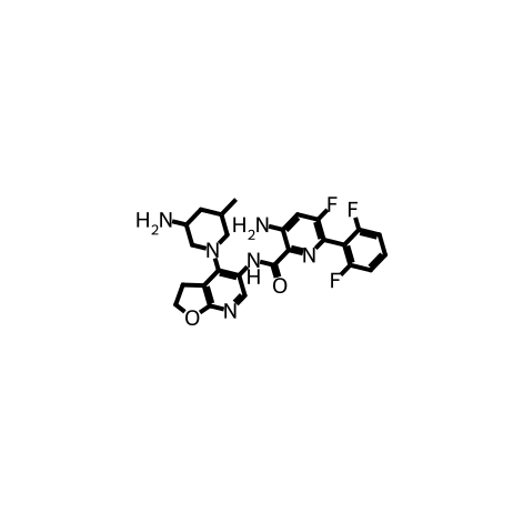 CC1CC(N)CN(c2c(NC(=O)c3nc(-c4c(F)cccc4F)c(F)cc3N)cnc3c2CCO3)C1